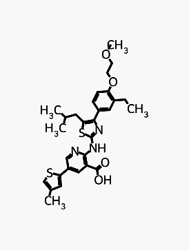 CCc1cc(-c2nc(Nc3ncc(-c4cc(C)cs4)cc3C(=O)O)sc2CC(C)C)ccc1OCCOC